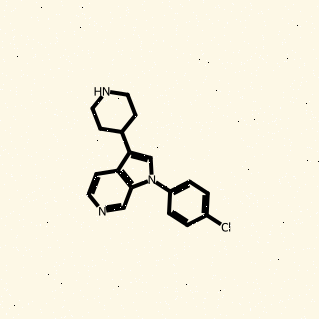 Clc1ccc(-n2cc(C3CCNCC3)c3ccncc32)cc1